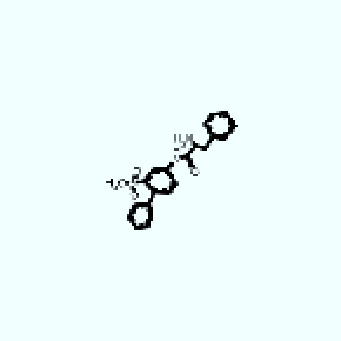 CS(=O)(=O)c1cc(NC(=O)C(N)Cc2ccccc2)ccc1-c1ccccc1